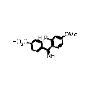 COc1ccc(C(=N)c2ccc(C(=O)O)cc2)c(P)c1